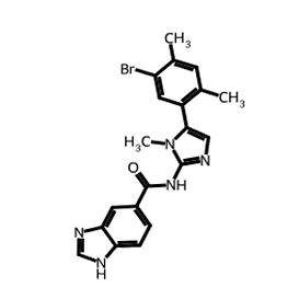 Cc1cc(C)c(-c2cnc(NC(=O)c3ccc4[nH]cnc4c3)n2C)cc1Br